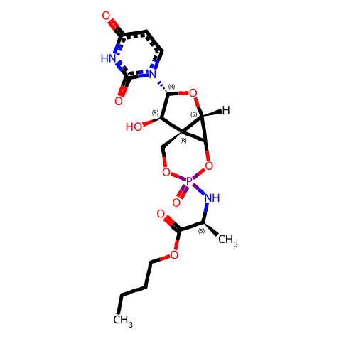 CCCCOC(=O)[C@H](C)NP1(=O)OC[C@]23C(O1)[C@H]2O[C@@H](n1ccc(=O)[nH]c1=O)[C@@H]3O